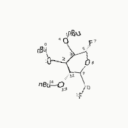 CCCCOC1C(OCCCC)[C@H](F)OC(CF)[C@@H]1OCCCC